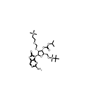 CC(C)OC(=O)O[C@H]1[C@@H](OCOCC[Si](C)(C)C)[C@H](n2c(=O)sc3cnc(N)nc32)O[C@@H]1CO[Si](C)(C)C(C)(C)C